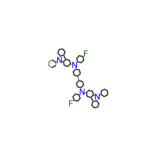 Fc1ccc(N(c2ccc(-c3ccc(N(c4ccc(F)cc4)c4ccc5c(c4)c4ccccc4n5-c4ccccc4)cc3)cc2)c2ccc3c(c2)c2ccccc2n3C2=CCCC=C2)cc1